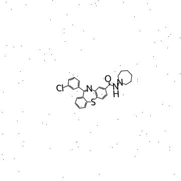 O=C(NN1CCCCCC1)c1ccc2c(c1)N=C(c1cccc(Cl)c1)c1ccccc1S2